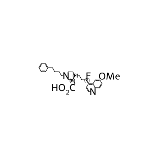 COc1ccc2nccc([C@H](F)CC[C@@H]3CCN(CCCCc4ccccc4)C[C@@H]3CC(=O)O)c2c1